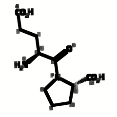 N[C@@H](CCC(=O)O)C(=O)N1CCC[C@H]1C(=O)O